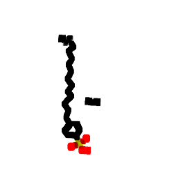 CCCCCCCCCCCCCc1ccc(S(=O)(=O)O)cc1.[NaH]